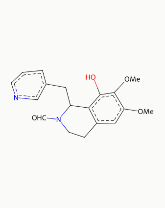 COc1cc2c(c(O)c1OC)C(Cc1cccnc1)N(C=O)CC2